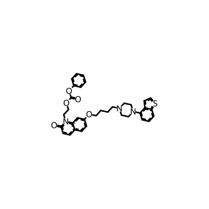 O=C(OCCn1c(=O)ccc2ccc(OCCCCN3CCN(c4cccc5sccc45)CC3)cc21)Oc1ccccc1